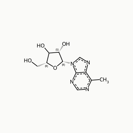 Cc1ncnc2c1ncn2[C@@H]1O[C@H](CO)C(O)[C@@H]1O